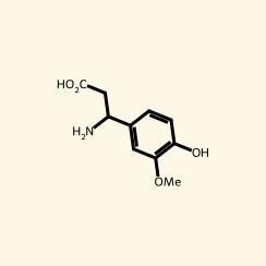 COc1cc(C(N)CC(=O)O)ccc1O